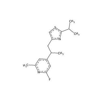 Cc1cc(C(C)Cc2csc(C(C)C)n2)cc(F)n1